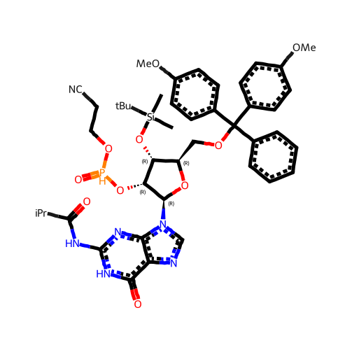 COc1ccc(C(OC[C@H]2O[C@@H](n3cnc4c(=O)[nH]c(NC(=O)C(C)C)nc43)[C@H](O[PH](=O)OCCC#N)[C@@H]2O[Si](C)(C)C(C)(C)C)(c2ccccc2)c2ccc(OC)cc2)cc1